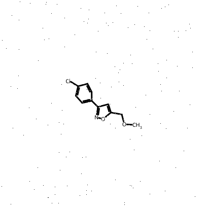 COCc1[c]c(-c2ccc(Cl)cc2)no1